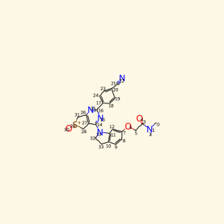 CN(C)C(=O)COc1ccc2c(c1)N(c1nc(-c3ccc(C#N)cc3)nc3c1C[S+]([O-])C3)CC2